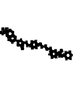 CC1(C)OCc2cc([C@@H]3CN(CCc4ccc(OCCOCc5cccc(C(=O)NC6CCCCC6)c5)cc4)C(=O)O3)ccc2O1